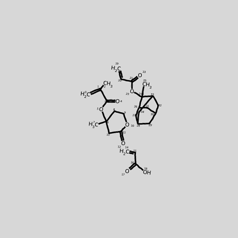 C=C(C)C(=O)OC1(C)CCOC(=O)C1.C=CC(=O)O.C=CC(=O)OC1(C)C2CC3CC(C2)CC1C3